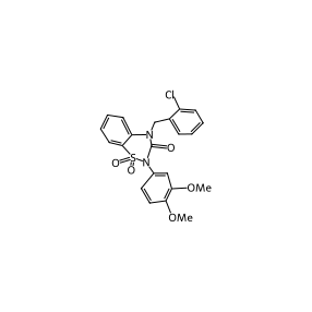 COc1ccc(N2C(=O)N(Cc3ccccc3Cl)c3ccccc3S2(=O)=O)cc1OC